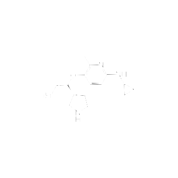 Cc1nc(NC2CC2)ccc1OC(CC(C)C)[C@H]1CCNC1